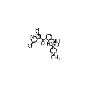 CN1CCN(S(=O)(=O)Nc2cccc(C(=O)c3c[nH]c4ncc(Cl)cc34)c2F)CC1